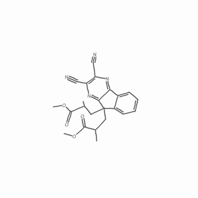 COC(=O)C(C)CC1(CC(C)C(=O)OC)c2ccccc2-c2nc(C#N)c(C#N)nc21